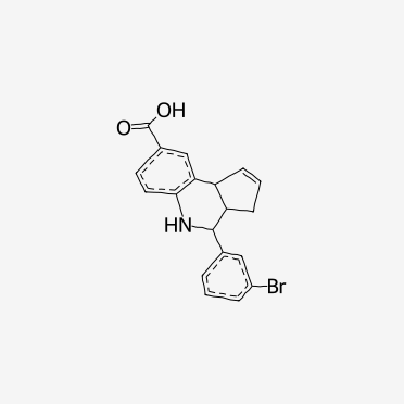 O=C(O)c1ccc2c(c1)C1C=CCC1C(c1cccc(Br)c1)N2